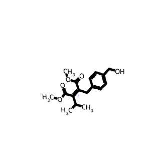 COC(=O)/C(Cc1ccc(CO)cc1)=C(\C(=O)OC)C(C)C